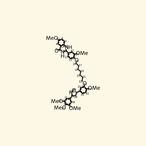 COc1ccc2c(c1)C(=O)NC(c1ccc(OCCCCCCCOc3cc(C4CC(c5cc(OC)c(OC)c(OC)c5)=NO4)ccc3OC)c(OC)c1)N2